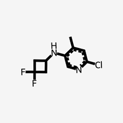 Cc1cc(Cl)ncc1NC1CC(F)(F)C1